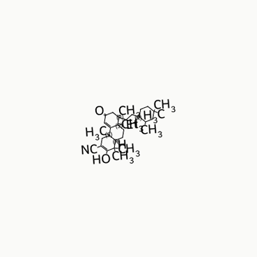 CC[C@]1(CC[C@]2(C)CC(=O)C=C3[C@@]4(C)CC(C#N)=C(O)C(C)(C)[C@@H]4CC[C@]32C)CCC(C)(C)CC1C